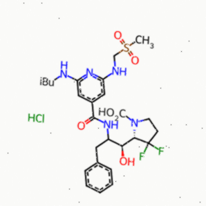 CCC(C)Nc1cc(C(=O)NC(Cc2ccccc2)[C@H](O)[C@@H]2N(C(=O)O)CCC2(F)F)cc(NCS(C)(=O)=O)n1.Cl